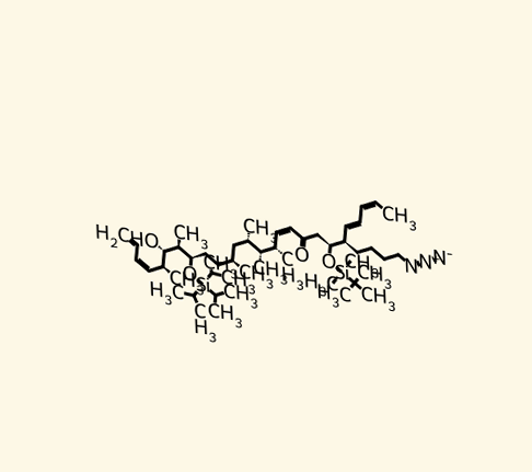 C=C/C=C\[C@H](C)[C@H](O)[C@@H](C)[C@@H](CC[C@H](C)C[C@H](C)[C@@H](C)[C@@H](C)/C=C\C(=O)C[C@H](O[Si](C)(C)C(C)(C)C)[C@@H](/C=C/C=C\C)CCCCN=[N+]=[N-])O[Si](C(C)C)(C(C)C)C(C)C